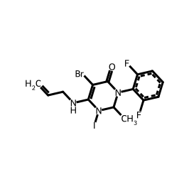 C=CCNC1=C(Br)C(=O)N(c2c(F)cccc2F)C(C)N1I